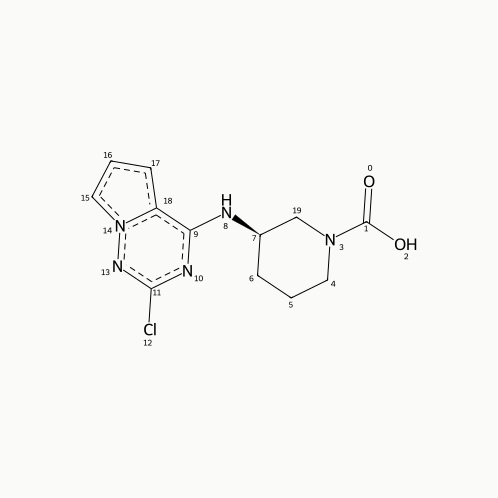 O=C(O)N1CCC[C@@H](Nc2nc(Cl)nn3cccc23)C1